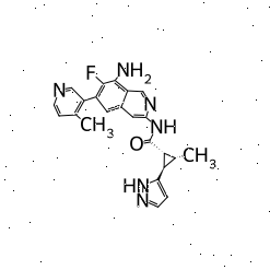 Cc1ccncc1-c1cc2cc(NC(=O)[C@@H]3[C@H](C)[C@H]3c3ccn[nH]3)ncc2c(N)c1F